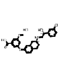 COc1cc(Oc2ccc3c(c2)C[C@@H](NC[C@@H](O)c2cccc(Cl)c2)CC3)cc(C(=O)O)c1.Cl